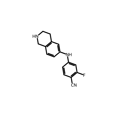 N#Cc1ccc(Nc2ccc3c(c2)CCNC3)cc1F